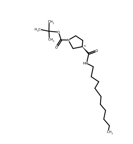 CCCCCCCCCCNC(=O)[C@@H]1CCN(C(=O)OC(C)(C)C)C1